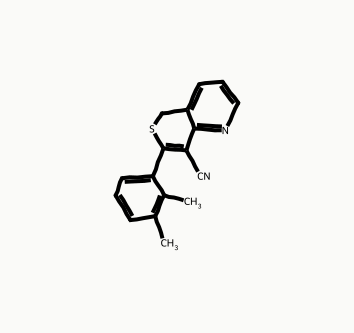 Cc1cccc(C2=C(C#N)c3ncccc3CS2)c1C